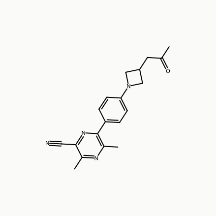 CC(=O)CC1CN(c2ccc(-c3nc(C#N)c(C)nc3C)cc2)C1